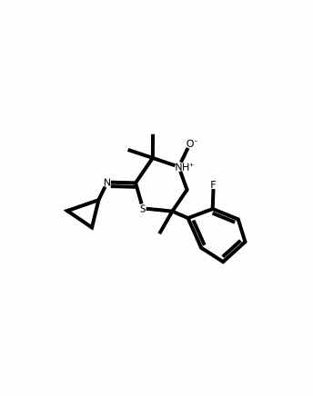 CC1(c2ccccc2F)C[NH+]([O-])C(C)(C)C(=NC2CC2)S1